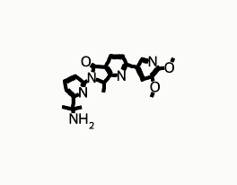 COc1cc(-c2ccc3c(n2)C(C)N(c2cccc(C(C)(C)N)n2)C3=O)cnc1OC